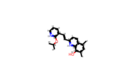 Cc1cc(C)c2ccc(/C=C/c3cccnc3OC(C)C)nc2c1O